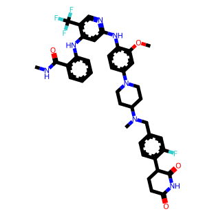 CNC(=O)c1ccccc1Nc1cc(Nc2ccc(N3CCC(N(C)Cc4ccc(C5CCC(=O)NC5=O)c(F)c4)CC3)cc2OC)ncc1C(F)(F)F